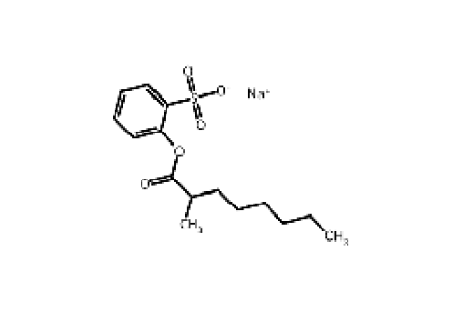 CCCCCCC(C)C(=O)Oc1ccccc1S(=O)(=O)[O-].[Na+]